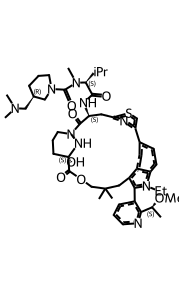 CCn1c(-c2cccnc2[C@H](C)OC)c2c3cc(ccc31)-c1csc(n1)C[C@H](NC(=O)[C@H](C(C)C)N(C)C(=O)N1CCC[C@H](CN(C)C)C1)C(=O)N1CCC[C@@](O)(N1)C(=O)OCC(C)(C)C2